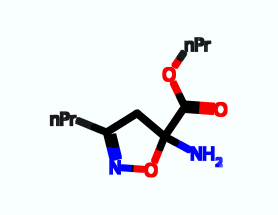 CCCOC(=O)C1(N)CC(CCC)=NO1